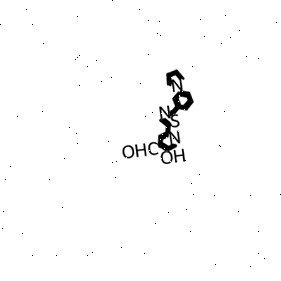 O=Cc1cc(-c2cnc(-c3cccc(N4CCCC4)c3)s2)ncc1O